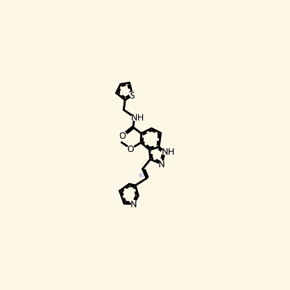 COc1c(C(=O)NCc2cccs2)ccc2[nH]nc(/C=C/c3cccnc3)c12